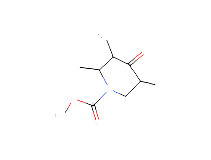 CC1CN(C(=O)OC(C)(C)C)C(C)C(C#N)C1=O